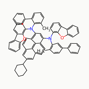 Cc1ccc(-c2ccccc2)cc1N(c1cc(N(c2c(C)cccc2-c2ccccc2)c2cccc3c2oc2ccccc23)c2ccc3cc(C4CCCCC4)cc4ccc1c2c43)c1cccc2c1oc1ccccc12